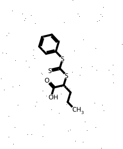 CCCC(SC(=S)Sc1ccccc1)C(=O)O